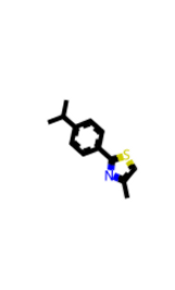 Cc1csc(-c2ccc(C(C)C)cc2)n1